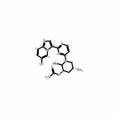 C[C@@H]1C[C@@H](OC(N)=O)C(C(C)(C)C)N(c2ccnc(-c3cnc4ccc(Cl)cn34)n2)C1